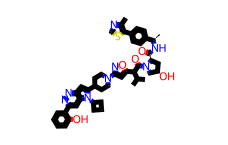 Cc1ncsc1-c1ccc([C@H](C)NC(=O)[C@@H]2C[C@@H](O)CN2C(=O)C(c2cc(N3CCC(c4cc5nnc(-c6ccccc6O)cc5n4C4CCC4)CC3)no2)C(C)C)cc1